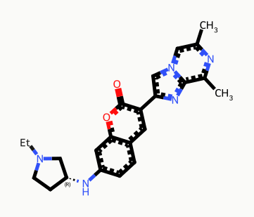 CCN1CC[C@@H](Nc2ccc3cc(-c4cn5cc(C)nc(C)c5n4)c(=O)oc3c2)C1